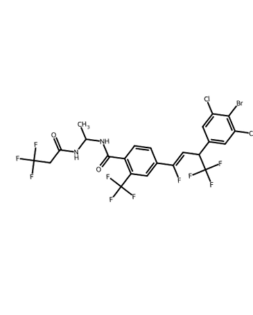 CC(NC(=O)CC(F)(F)F)NC(=O)c1ccc(/C(F)=C/C(c2cc(Cl)c(Br)c(Cl)c2)C(F)(F)F)cc1C(F)(F)F